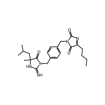 CCCCC1=NC(=O)N(Cc2ccc(CN3C(=N)NC(C)(CC(C)C)C3=O)cc2)C1=O